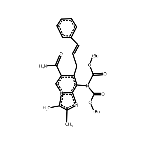 Cc1nc2c(N(C(=O)OC(C)(C)C)C(=O)OC(C)(C)C)c(CC=Cc3ccccc3)c(C(N)=O)cn2c1C